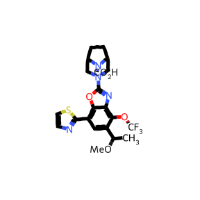 COC(C)c1cc(-c2nccs2)c2oc(N3CC4CCC(C3)N4C(=O)O)nc2c1OC(F)(F)F